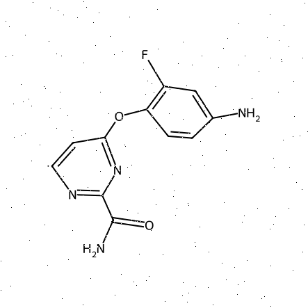 NC(=O)c1n[c]cc(Oc2ccc(N)cc2F)n1